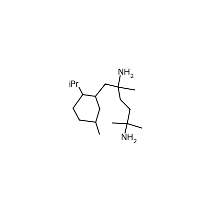 CC1CCC(C(C)C)C(CC(C)(N)CCC(C)(C)N)C1